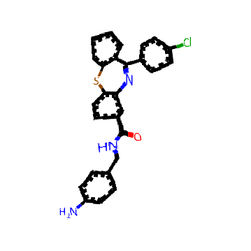 Nc1ccc(CNC(=O)c2ccc3c(c2)N=C(c2ccc(Cl)cc2)c2ccccc2S3)cc1